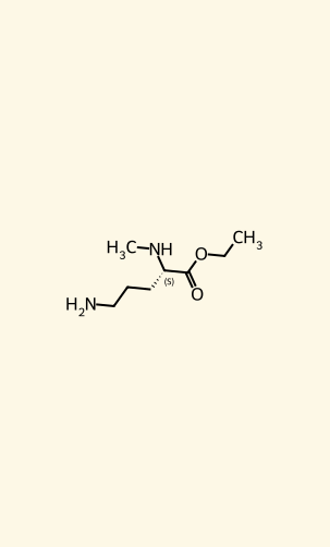 CCOC(=O)[C@H](CCCN)NC